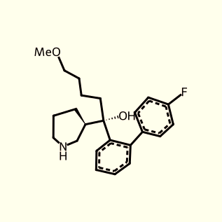 COCCCC[C@@](O)(c1ccccc1-c1ccc(F)cc1)[C@@H]1CCCNC1